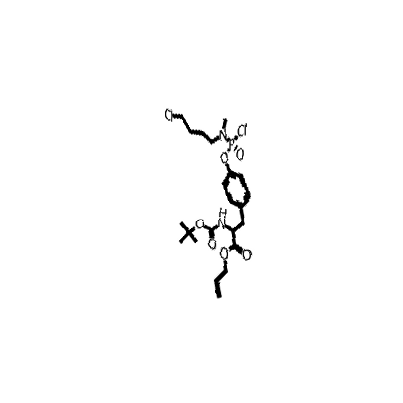 C=CCOC(=O)C(Cc1ccc(OP(=O)(Cl)N(C)CCCCCl)cc1)NC(=O)OC(C)(C)C